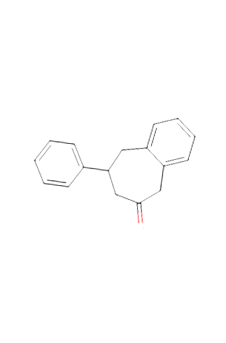 O=C1Cc2ccccc2CC(c2ccccc2)C1